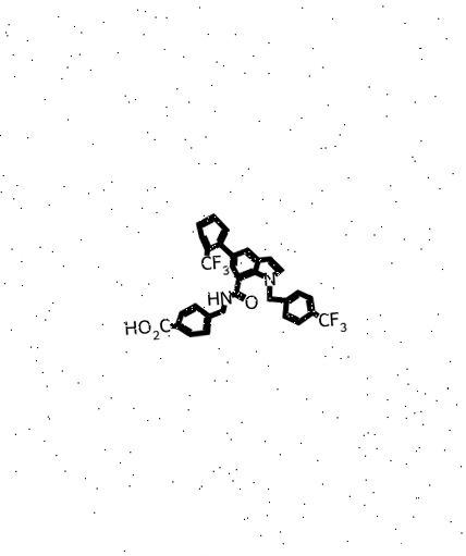 O=C(O)c1ccc(CNC(=O)c2cc(-c3ccccc3C(F)(F)F)cc3ccn(Cc4ccc(C(F)(F)F)cc4)c23)cc1